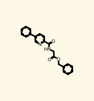 O=C(CNC(=O)c1ccc(-c2ccccc2)cn1)OCc1ccccc1